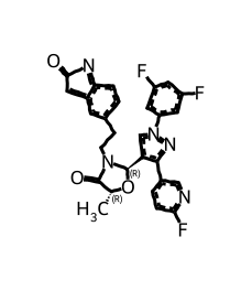 C[C@H]1O[C@H](c2cn(-c3cc(F)cc(F)c3)nc2-c2ccc(F)nc2)N(CCc2ccc3c(c2)=CC(=O)N=3)C1=O